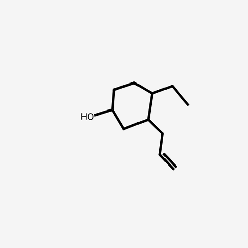 C=CCC1CC(O)CCC1CC